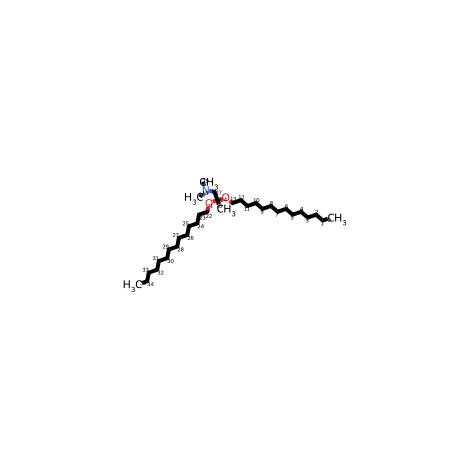 CCCCCCCCCCCCCCOC(C)(CN(C)C)OCCCCCCCCCCCCCC